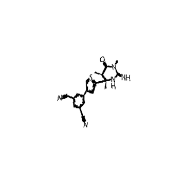 C[C@H]1C(=O)N(C)C(=N)N[C@]1(C)c1cc(-c2cc(C#N)cc(C#N)c2)cs1